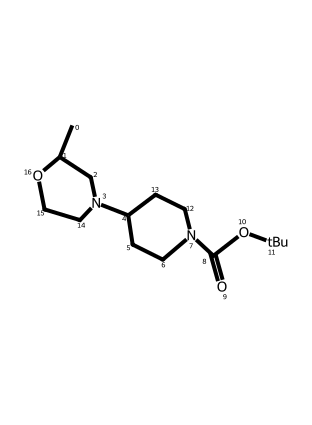 CC1CN(C2CCN(C(=O)OC(C)(C)C)CC2)CCO1